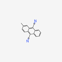 Cc1ccc2c(C#N)c3ccccc3c(C#N)c2c1